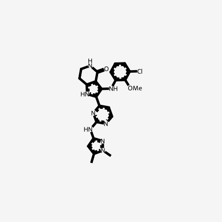 COc1c(Cl)cccc1Nc1c(-c2ccnc(Nc3cc(C)n(C)n3)n2)[nH]c2c1C(=O)NCC2